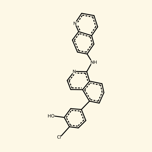 Oc1cc(-c2cccc3c(Nc4ccc5ncccc5c4)nccc23)ccc1Cl